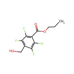 CCCOC(=O)c1c(F)c(F)c(CO)c(F)c1F